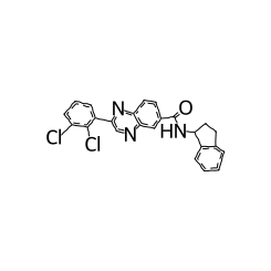 O=C(NC1CCc2ccccc21)c1ccc2nc(-c3cccc(Cl)c3Cl)cnc2c1